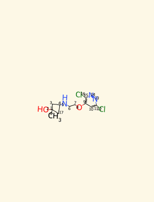 CC1(O)CC(NCCOc2cc(Cl)nnc2Cl)C1